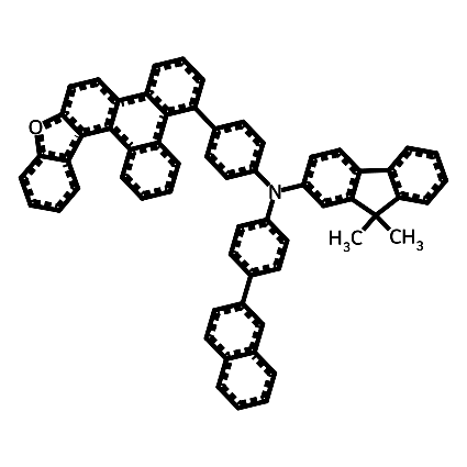 CC1(C)c2ccccc2-c2ccc(N(c3ccc(-c4ccc5ccccc5c4)cc3)c3ccc(-c4cccc5c6ccc7oc8ccccc8c7c6c6ccccc6c45)cc3)cc21